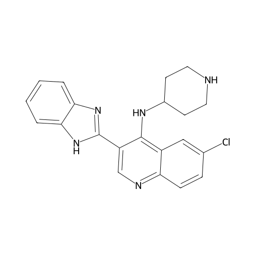 Clc1ccc2ncc(-c3nc4ccccc4[nH]3)c(NC3CCNCC3)c2c1